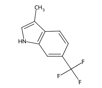 Cc1c[nH]c2cc(C(F)(F)F)ccc12